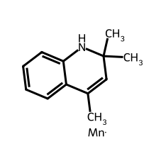 CC1=CC(C)(C)Nc2ccccc21.[Mn]